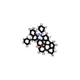 c1ccc(-c2ccc(N(c3ccccc3)c3ccc4c(c3)C3(c5ccccc5)c5ccccc5-c5cccc6ccc-4c3c56)c3ccccc23)cc1